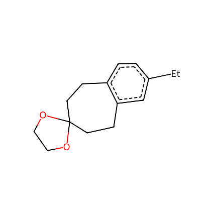 CCc1ccc2c(c1)CCC1(CC2)OCCO1